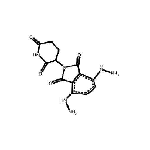 NNc1ccc(NN)c2c1C(=O)N(C1CCC(=O)NC1=O)C2=O